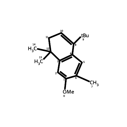 COc1cc2c(cc1C)C(C(C)(C)C)=CCC2(C)C